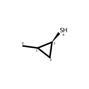 CC1C[C@@H]1S